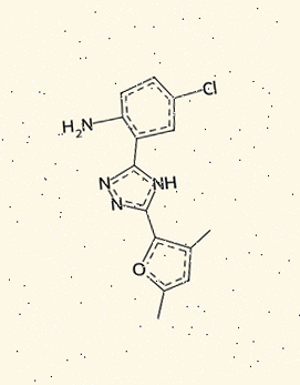 Cc1cc(C)c(-c2nnc(-c3cc(Cl)ccc3N)[nH]2)o1